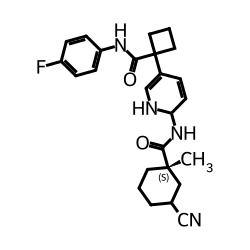 C[C@]1(C(=O)NC2C=CC(C3(C(=O)Nc4ccc(F)cc4)CCC3)=CN2)CCCC(C#N)C1